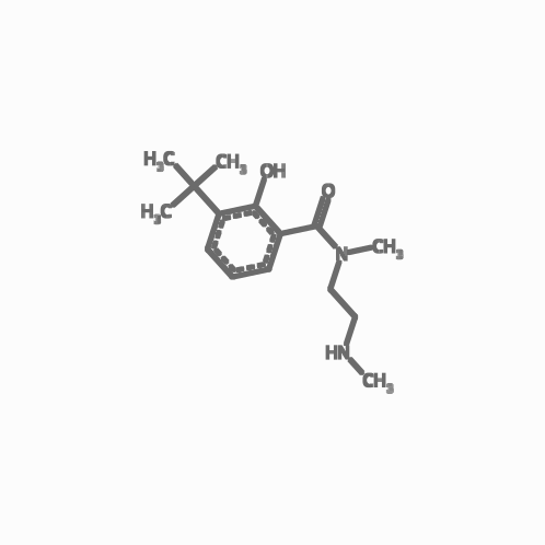 CNCCN(C)C(=O)c1cccc(C(C)(C)C)c1O